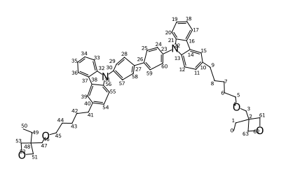 CCC1(COCCCCCc2ccc3c(c2)c2ccccc2n3-c2ccc(-c3ccc(-n4c5ccccc5c5cc(CCCCCOCC6(CC)COC6)ccc54)cc3)cc2)COC1